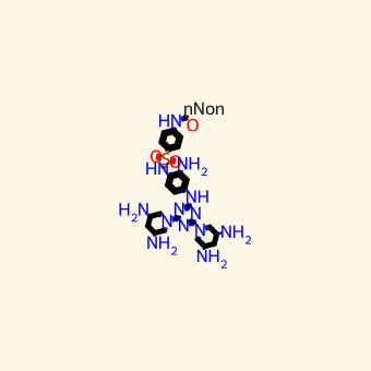 CCCCCCCCCC(=O)Nc1ccc(S(=O)(=O)Nc2ccc(Nc3nc(N4C[C@H](N)C[C@H](N)C4)nc(N4C[C@H](N)C[C@H](N)C4)n3)cc2N)cc1